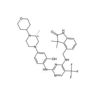 C[C@@H]1CN(c2ccc(Nc3ncc(C(F)(F)F)c(NCc4cccc5c4C(C)(C)C(=O)N5)n3)c(O)c2)CCN1C1CCOCC1